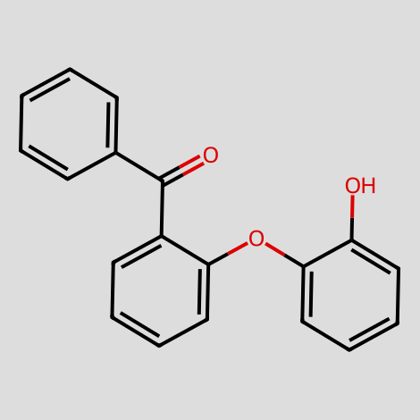 O=C(c1ccccc1)c1ccccc1Oc1ccccc1O